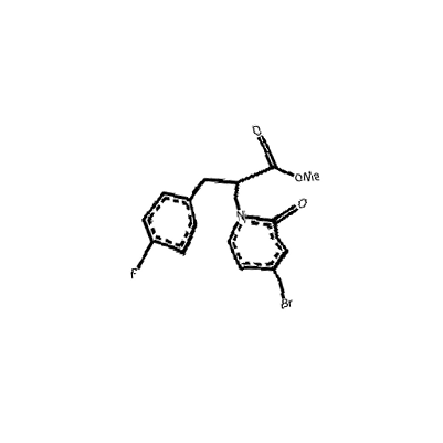 COC(=O)C(Cc1ccc(F)cc1)n1ccc(Br)cc1=O